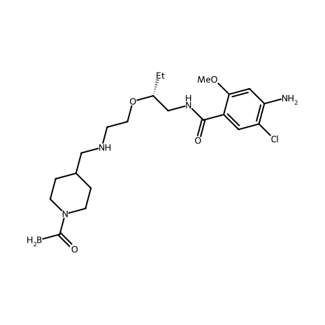 BC(=O)N1CCC(CNCCO[C@H](CC)CNC(=O)c2cc(Cl)c(N)cc2OC)CC1